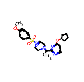 COc1ccc(S(=O)(=O)N2CCN(C(C)c3nccc(OC4CCCC4)n3)CC2)cc1